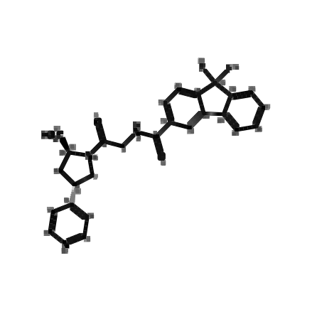 O=C(NCC(=O)N1C[C@H](c2ccncc2)C[C@H]1C(=O)O)c1ccc2c(c1)-c1ccccc1C2(F)F